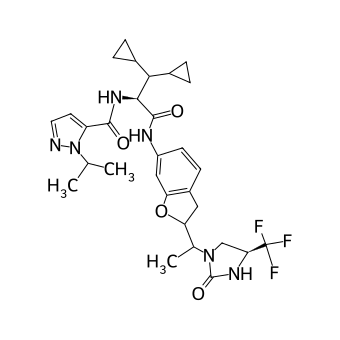 CC(C1Cc2ccc(NC(=O)[C@@H](NC(=O)c3ccnn3C(C)C)C(C3CC3)C3CC3)cc2O1)N1C[C@@H](C(F)(F)F)NC1=O